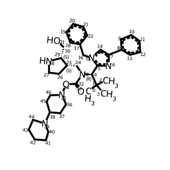 CC(C)(C)[C@H](c1nc(-c2ccccc2)cn1Cc1ccccc1)N(C[C@@H]1CCN[C@@H]1CO)C(=O)ON1CCC(N2CCCCC2)CC1